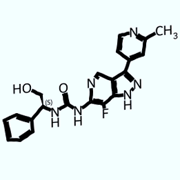 Cc1cc(-c2n[nH]c3c(F)c(NC(=O)N[C@H](CO)c4ccccc4)ncc23)ccn1